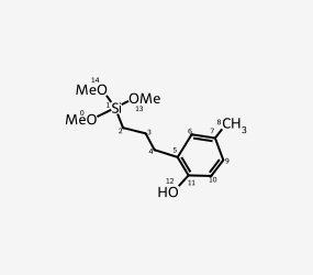 CO[Si](CCCc1cc(C)ccc1O)(OC)OC